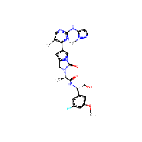 COc1cc(F)cc([C@@H](CO)NC(=O)[C@@H](C)N2Cc3cc(-c4nc(Nc5ccnn5C)ncc4C)cn3C2=O)c1